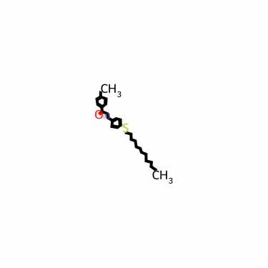 CCCCCCCCCCCCCSc1ccc(/C=C/C(=O)c2ccc(CC)cc2)cc1